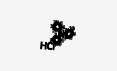 Cl.c1ccc(N(c2ccccc2)c2ccccc2)cc1